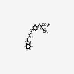 O=C(O)[C@H](Cc1ccc(OCCNCc2nc3ccccc3o2)cc1)OCC(F)(F)F